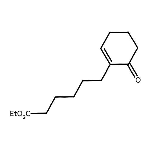 CCOC(=O)CCCCCC1=CCCCC1=O